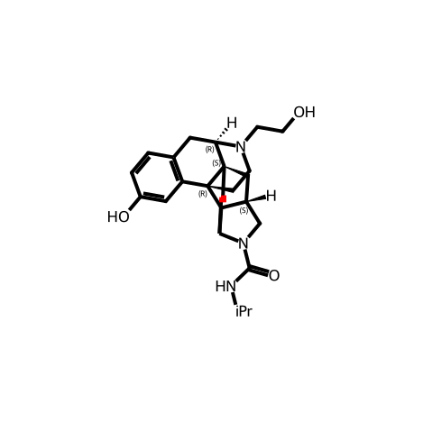 CC(C)NC(=O)N1C[C@H]2C[C@@]34CCC1C2[C@@]31CCN(CCO)[C@@H]4Cc2ccc(O)cc21